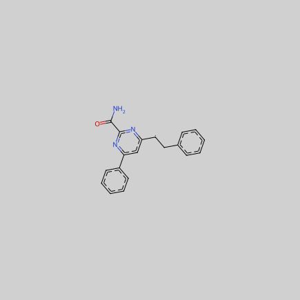 NC(=O)c1nc([CH]Cc2ccccc2)cc(-c2ccccc2)n1